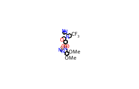 COc1ccc(CN(c2ncns2)S(=O)(=O)c2ccc3c(c2)OCCC3N2CCC(C(F)(F)F)CC2c2ccnn2C)c(OC)c1